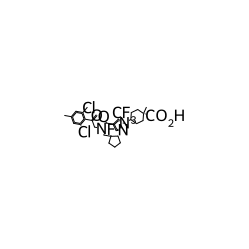 Cc1cc(Cl)c(C(=O)CN(CC2(F)CCCC2)C(=O)c2cnn([C@H]3CC[C@](C)(C(=O)O)CC3)c2C(F)(F)F)c(Cl)c1